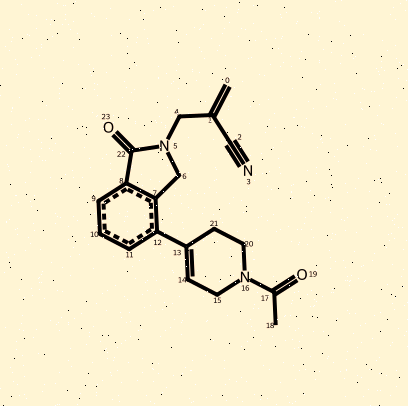 C=C(C#N)CN1Cc2c(cccc2C2=CCN(C(C)=O)CC2)C1=O